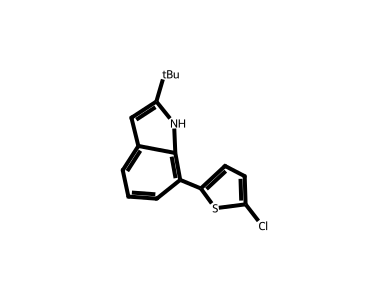 CC(C)(C)c1cc2cccc(-c3ccc(Cl)s3)c2[nH]1